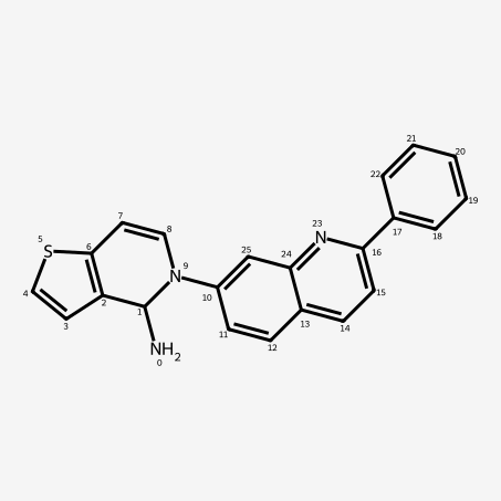 NC1c2ccsc2C=CN1c1ccc2ccc(-c3ccccc3)nc2c1